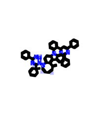 C=C1/C=C\C=C/N(N/C(=N\C(=N)c2ccccc2)C2(C)C=CC=CC2)c2ccc3c(c21)c1ccccc1n3-c1ccccc1-c1cc(-c2ccccc2)nc(-c2ccccc2)n1